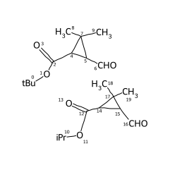 CC(C)(C)OC(=O)C1C(C=O)C1(C)C.CC(C)OC(=O)C1C(C=O)C1(C)C